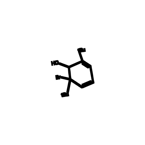 CC(C)(C)C1=CC=CC(Br)(C(C)(C)C)C1O